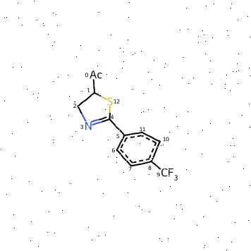 CC(=O)C1CN=C(c2ccc(C(F)(F)F)cc2)S1